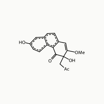 COC1=Cc2ccc3cc(O)ccc3c2C(=O)C1(O)CC(C)=O